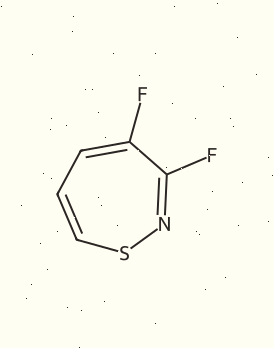 FC1=CC=CSN=C1F